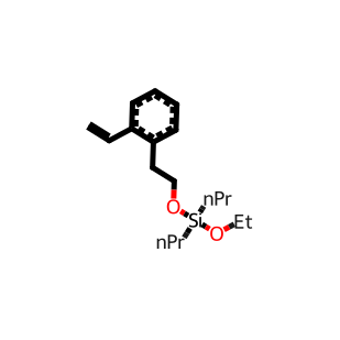 C=Cc1ccccc1CCO[Si](CCC)(CCC)OCC